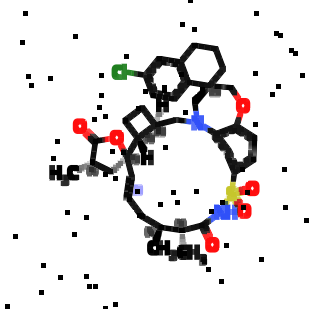 C[C@H]1C[C@]2(/C=C/C[C@H](C)[C@@H](C)C(=O)NS(=O)(=O)c3ccc4c(c3)N(C[C@@H]3CC[C@H]32)C[C@@]2(CCCc3cc(Cl)ccc32)CO4)OC1=O